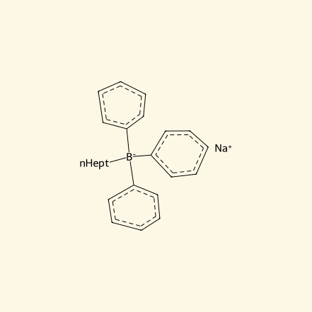 CCCCCCC[B-](c1ccccc1)(c1ccccc1)c1ccccc1.[Na+]